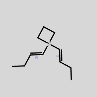 CC/C=C/[Si]1(/C=C/CC)CCC1